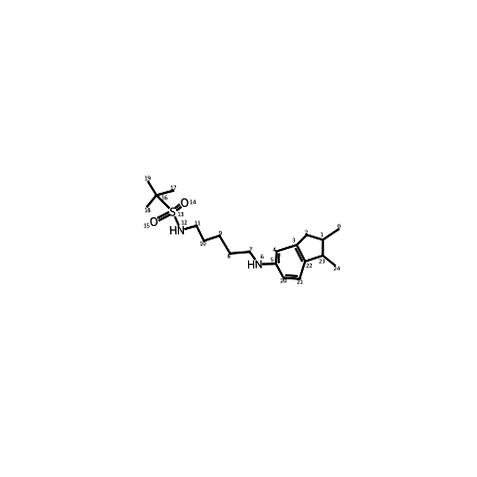 CC1Cc2cc(NCCCCCNS(=O)(=O)C(C)(C)C)ccc2C1C